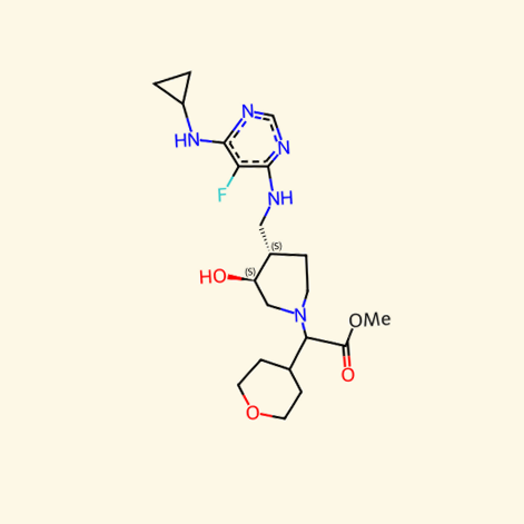 COC(=O)C(C1CCOCC1)N1CC[C@@H](CNc2ncnc(NC3CC3)c2F)[C@H](O)C1